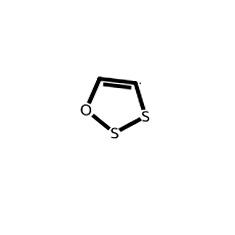 [C]1=COSS1